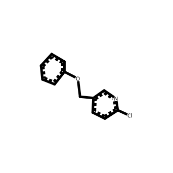 Clc1ccc(COc2ccccc2)cn1